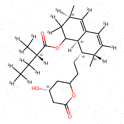 [2H]C1=C([2H])[C@]([2H])(C)[C@H](CCC2C[C@@H](O)CC(=O)O2)[C@@H]2C1=C([2H])[C@]([2H])(C)C([2H])([2H])C2OC(=O)[C@@]([2H])(C([2H])([2H])[2H])C([2H])([2H])C([2H])([2H])[2H]